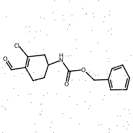 O=CC1=C(Cl)CC(NC(=O)OCc2ccccc2)CC1